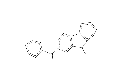 CC1c2ccccc2-c2ccc(Nc3ccccc3)cc21